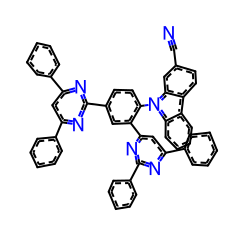 N#Cc1ccc2c3ccccc3n(-c3ccc(-c4nc(-c5ccccc5)cc(-c5ccccc5)n4)cc3-c3cc(-c4ccccc4)nc(-c4ccccc4)n3)c2c1